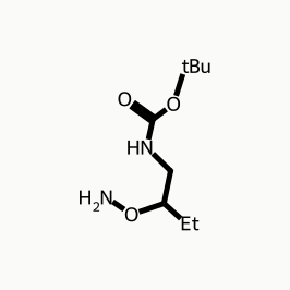 CCC(CNC(=O)OC(C)(C)C)ON